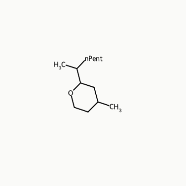 CCCCCC(C)C1CC(C)CCO1